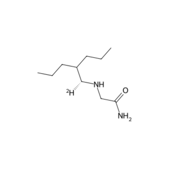 [2H][C@@H](NCC(N)=O)C(CCC)CCC